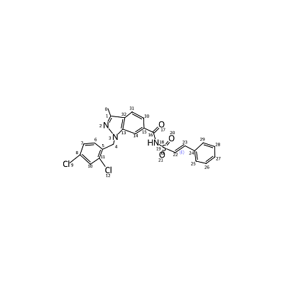 Cc1nn(Cc2ccc(Cl)cc2Cl)c2cc(C(=O)NS(=O)(=O)/C=C/c3ccccc3)ccc12